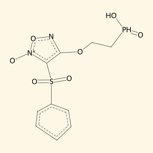 O=[PH](O)CCOc1no[n+]([O-])c1S(=O)(=O)c1ccccc1